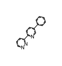 c1ccc(-c2ccc(-c3cccnn3)nc2)cc1